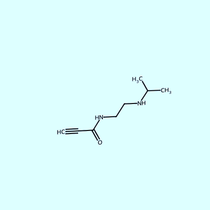 C#CC(=O)NCCNC(C)C